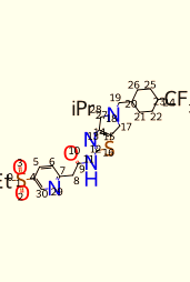 CCS(=O)(=O)c1ccc(CC(=O)Nc2nc3c(s2)CN(CC2CCC(C(F)(F)F)CC2)[C@H]3C(C)C)nc1